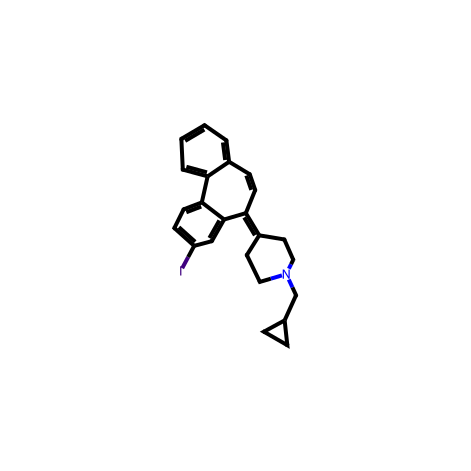 Ic1ccc2c(c1)C(=C1CCN(CC3CC3)CC1)C=Cc1ccccc1-2